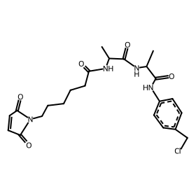 CC(NC(=O)CCCCCN1C(=O)C=CC1=O)C(=O)NC(C)C(=O)Nc1ccc(CCl)cc1